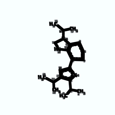 CC(C)c1nc(-c2cccc3c2N[CH]N3C(C)C)sc1C(C)C